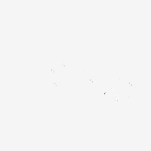 CC(C)(C)[C@]1(CNC(=O)c2cnn(-c3cccc(F)c3)n2)NC(=O)NC1=O